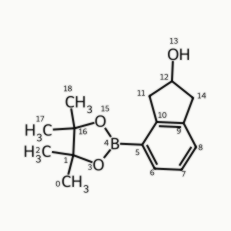 CC1(C)OB(c2cccc3c2CC(O)C3)OC1(C)C